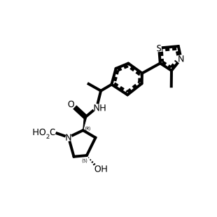 Cc1ncsc1-c1ccc(C(C)NC(=O)[C@H]2C[C@H](O)CN2C(=O)O)cc1